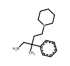 CC(CN)(CCN1CCCCC1)c1ccccc1